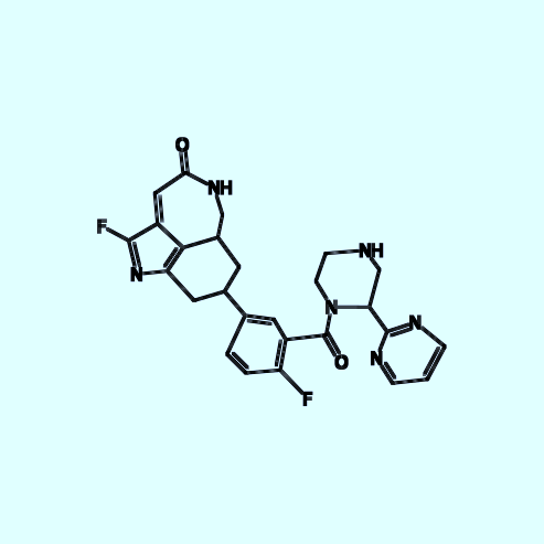 O=C1C=C2C(F)=NC3=C2C(CN1)CC(c1ccc(F)c(C(=O)N2CCNCC2c2ncccn2)c1)C3